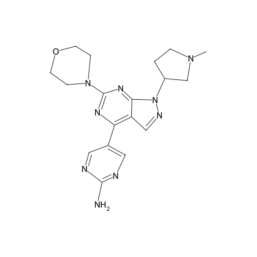 CN1CCC(n2ncc3c(-c4cnc(N)nc4)nc(N4CCOCC4)nc32)C1